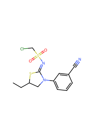 CCC1CN(c2cccc(C#N)c2)C(=NS(=O)(=O)CCl)S1